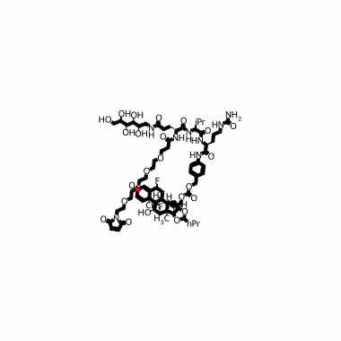 CCCC1O[C@@H]2C[C@H]3[C@@H]4C[C@H](F)C5=CC(=O)C=C[C@]5(C)[C@@]4(F)[C@@H](O)C[C@]3(C)[C@]2(C(=O)COC(=O)OCc2ccc(NC(=O)[C@H](CCCNC(N)=O)NC(=O)[C@@H](NC(=O)[C@@H](CCC(=O)NC[C@H](O)[C@@H](O)[C@H](O)[C@H](O)CO)NC(=O)CCOCCOCCOCCOCCN3C(=O)C=CC3=O)C(C)C)cc2)O1